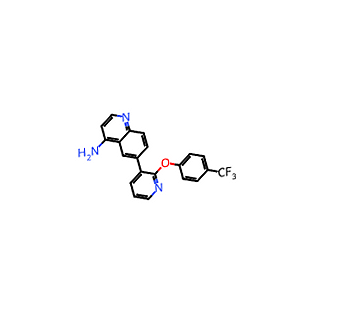 Nc1ccnc2ccc(-c3cccnc3Oc3ccc(C(F)(F)F)cc3)cc12